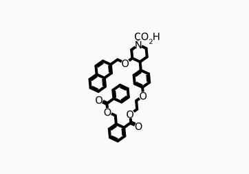 O=C(OCc1ccccc1C(=O)OCCOc1ccc(C2CCN(C(=O)O)CC2OCc2ccc3ccccc3c2)cc1)c1ccccc1